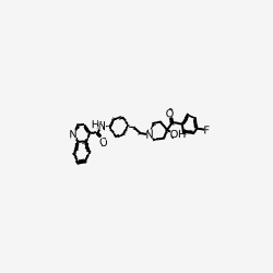 O=C(N[C@H]1CC[C@H](CCN2CCC(O)(C(=O)c3ccc(F)cc3)CC2)CC1)c1ccnc2ccccc12